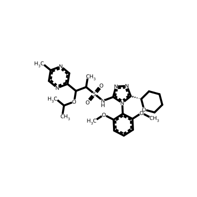 COc1cccc(OC)c1-n1c(NS(=O)(=O)C(C)C(OC(C)C)c2cnc(C)cn2)nnc1[C@@H]1CCCCO1